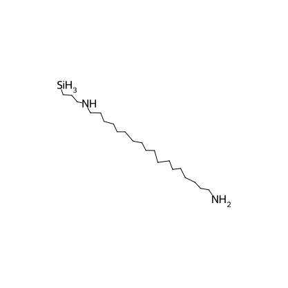 NCCCCCCCCCCCCCCCCCCNCCC[SiH3]